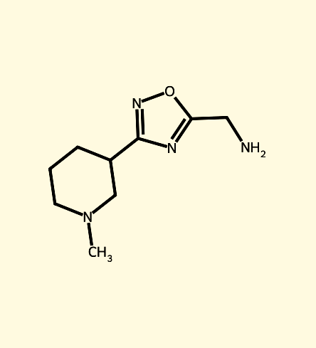 CN1CCCC(c2noc(CN)n2)C1